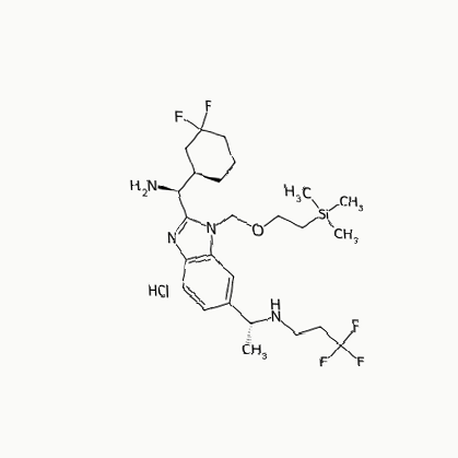 C[C@@H](NCCC(F)(F)F)c1ccc2nc([C@@H](N)[C@@H]3CCCC(F)(F)C3)n(COCC[Si](C)(C)C)c2c1.Cl